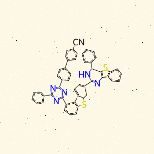 N#Cc1ccc(-c2ccc(-c3nc(-c4ccccc4)nc(-c4cccc5c4C4=CC=C(C6=Nc7c(sc8ccccc78)C(c7ccccc7)N6)CC4S5)n3)cc2)cc1